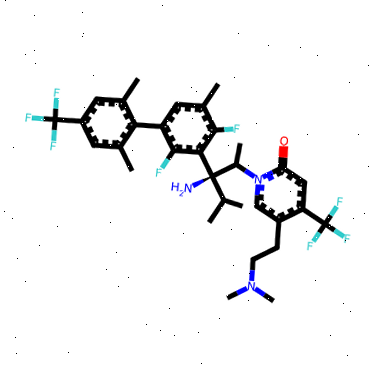 Cc1cc(-c2c(C)cc(C(F)(F)F)cc2C)c(F)c([C@@](N)(C(C)C)C(C)n2cc(CCN(C)C)c(C(F)(F)F)cc2=O)c1F